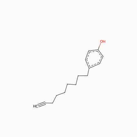 C#CCCCCCCCc1ccc(O)cc1